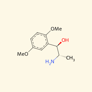 COc1ccc(OC)c([C@@H](O)[C@H](C)N)c1